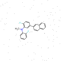 CN(c1ccccc1F)c1cc(-c2ccc3ccccc3c2)ccc1F